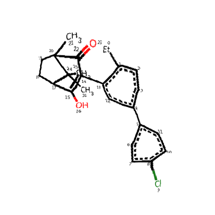 CCc1ccc(-c2ccc(Cl)cc2)cc1C1=C(O)C2CCC(C)(C1=O)C2(C)C